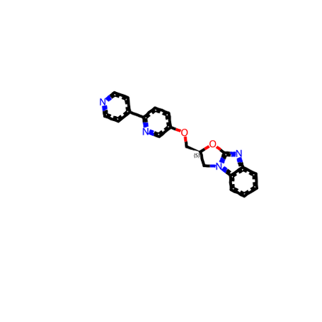 c1ccc2c(c1)nc1n2C[C@@H](COc2ccc(-c3ccncc3)nc2)O1